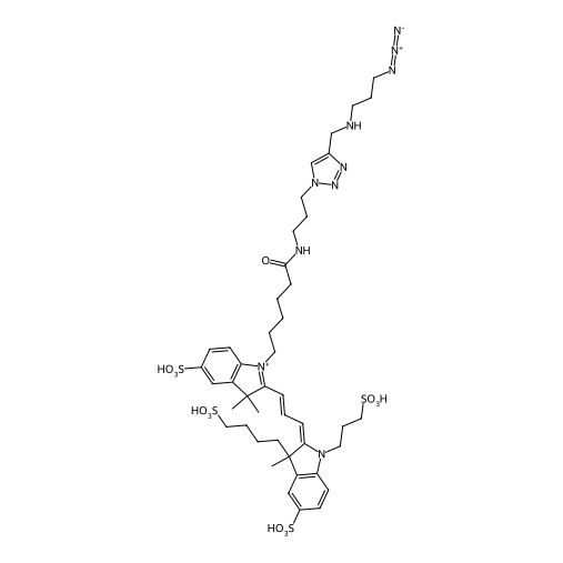 CC1(C)C(/C=C/C=C2/N(CCCS(=O)(=O)O)c3ccc(S(=O)(=O)O)cc3C2(C)CCCCS(=O)(=O)O)=[N+](CCCCCC(=O)NCCCn2cc(CNCCCN=[N+]=[N-])nn2)c2ccc(S(=O)(=O)O)cc21